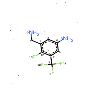 NCc1cc(N)cc(C(F)(F)F)c1F